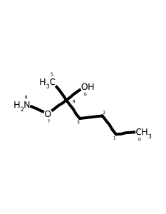 CCCCC(C)(O)ON